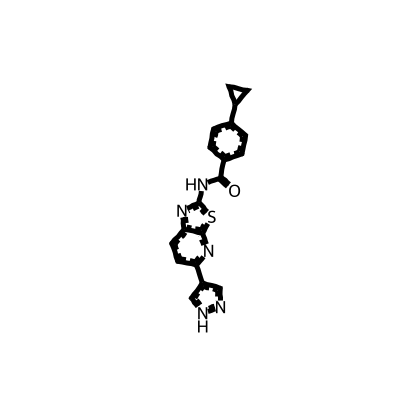 O=C(Nc1nc2ccc(-c3cn[nH]c3)nc2s1)c1ccc(C2CC2)cc1